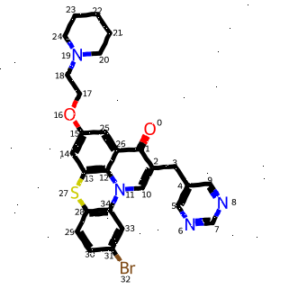 O=c1c(Cc2cncnc2)cn2c3c(cc(OCCN4CCCCC4)cc13)Sc1ccc(Br)cc1-2